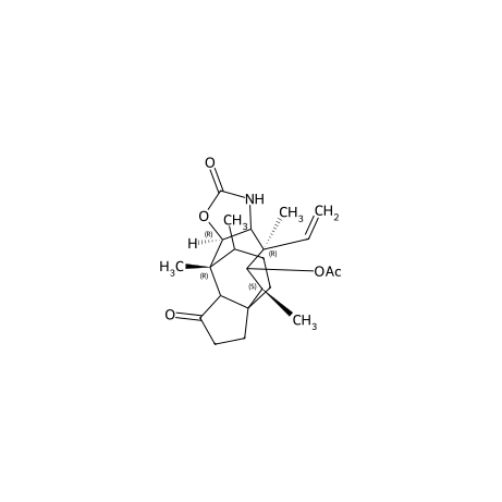 C=C[C@@]1(C)C(OC(C)=O)[C@@H](C)C23CCC(=O)C2[C@@](C)(C(C)CC3)[C@H]2OC(=O)NC21